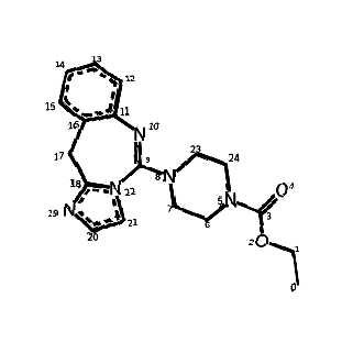 CCOC(=O)N1CCN(C2=Nc3ccccc3Cc3nccn32)CC1